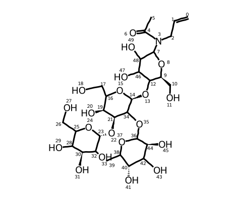 C=CCN(C(C)=O)C1O[C@@H](CO)C(O[C@@H]2OC(CO)[C@H](O)[C@H](O[C@H]3OC(CO)C(O)[C@H](O)C3O)C2OC2OC(C)[C@@H](O)C(O)[C@@H]2O)C(O)C1O